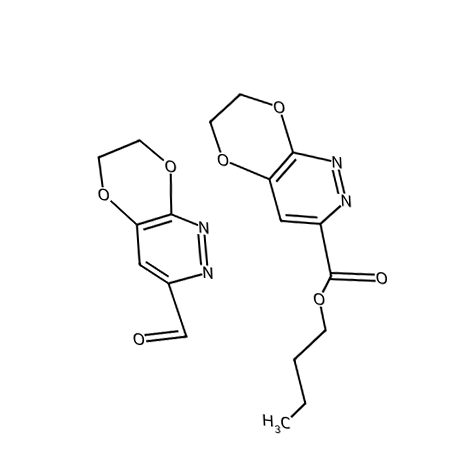 CCCCOC(=O)c1cc2c(nn1)OCCO2.O=Cc1cc2c(nn1)OCCO2